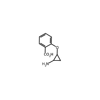 NC1CC1Oc1ccccc1C(=O)O